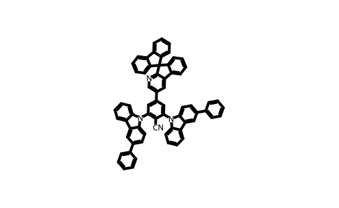 N#Cc1c(-n2c3ccccc3c3cc(-c4ccccc4)ccc32)cc(-c2cnc3c(c2)-c2ccccc2C32c3ccccc3-c3ccccc32)cc1-n1c2ccccc2c2cc(-c3ccccc3)ccc21